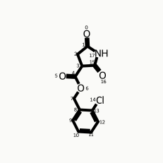 O=C1CC(C(=O)OCc2ccccc2Cl)C(=O)N1